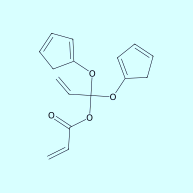 C=CC(=O)OC(C=C)(OC1=CC=CC1)OC1=CC=CC1